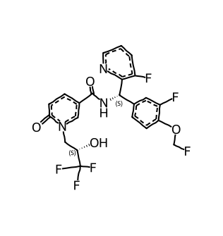 O=C(N[C@@H](c1ccc(OCF)c(F)c1)c1ncccc1F)c1ccc(=O)n(C[C@H](O)C(F)(F)F)c1